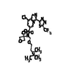 CC1(N(COCC[Si](C)(C)C)S(=O)(=O)c2cc(Cl)c3cnc(-c4nnc(C(F)(F)F)s4)n3c2)COC1